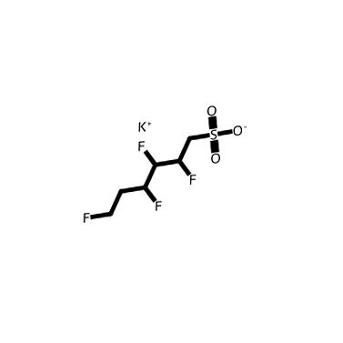 O=S(=O)([O-])CC(F)C(F)C(F)CCF.[K+]